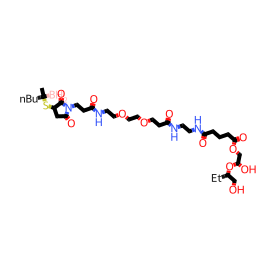 BC(C)(CCCC)SC1CC(=O)N(CCC(=O)NCCOCCOCCC(=O)NCCNC(=O)CCCC(=O)OCC(O)OC(CC)CO)C1=O